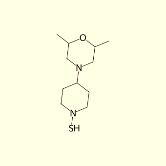 CC1CN(C2CCN(S)CC2)CC(C)O1